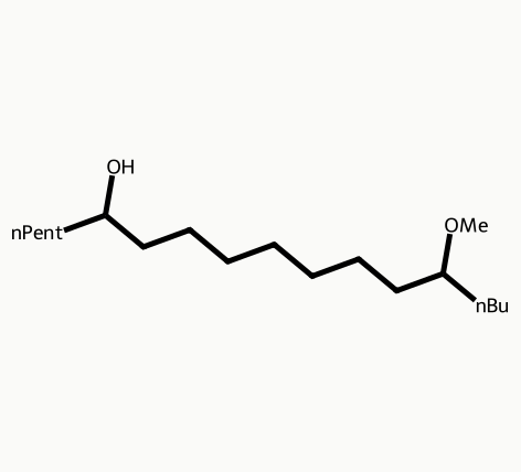 [CH2]CCCC(CCCCCCCC(O)CCCCC)OC